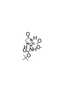 COC(=O)[C@@H]1[C@H](NC(=O)OC(C)(C)C)[C@H]2CC(=O)[C@@H]1C2